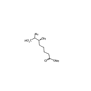 CCC(C)C(C(=O)O)[C@@H](O)CCCCC(=O)OC